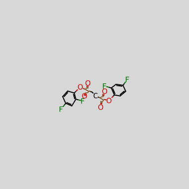 O=S(=O)(CCS(=O)(=O)Oc1ccc(F)cc1F)Oc1ccc(F)cc1F